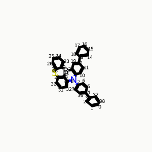 c1ccc(-c2ccc(N3c4ccc(-c5ccccc5)cc4B4c5ccccc5Sc5cccc3c54)cc2)cc1